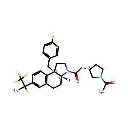 CC(=O)N1CC[C@@H](CC(=O)N2CC[C@@]3(Cc4ccc(F)cc4)c4ccc(C(C)(F)C(F)(F)F)cc4CC[C@@H]23)C1